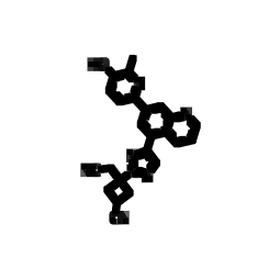 Cc1nc(-c2cc(-c3cnn(C4(CC#N)CC(C#N)C4)n3)c3cccnc3c2)ccc1O